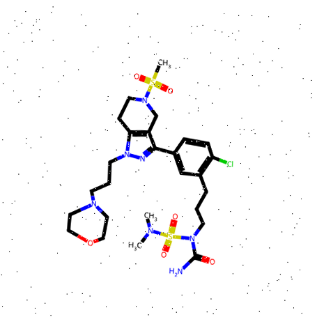 CN(C)S(=O)(=O)N(CCCc1cc(-c2nn(CCCN3CCOCC3)c3c2CN(S(C)(=O)=O)CC3)ccc1Cl)C(N)=O